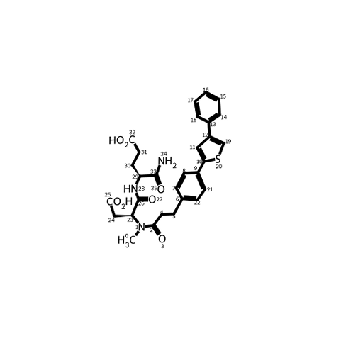 CN(C(=O)CCc1ccc(-c2cc(-c3ccccc3)cs2)cc1)[C@@H](CC(=O)O)C(=O)N[C@@H](CCC(=O)O)C(N)=O